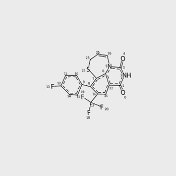 O=c1[nH]c(=O)n2c3c(c(-c4ccc(F)cc4)c(C(F)(F)F)cc13)SCC=C2